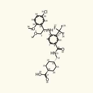 COCC(Nc1ccc(C(=O)NC[C@H]2CC[C@H](C(=O)O)CC2)cc1C(F)(F)F)c1cc(Cl)ccc1OC